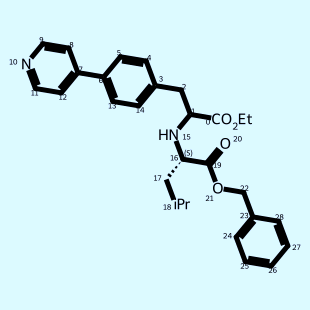 CCOC(=O)C(Cc1ccc(-c2ccncc2)cc1)N[C@@H](CC(C)C)C(=O)OCc1ccccc1